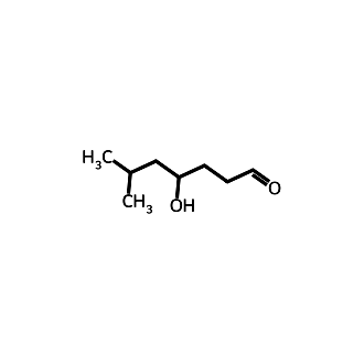 CC(C)CC(O)CCC=O